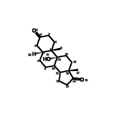 C[C@]12CCC(=O)C[C@@H]1CCC1C3CCC(=O)[C@@]3(C)CC[C@@]12O